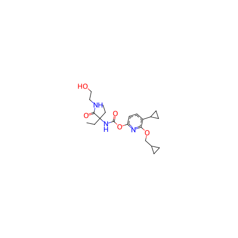 CCC(CC)(NC(=O)Oc1ccc(C2CC2)c(OCC2CC2)n1)C(=O)NCCO